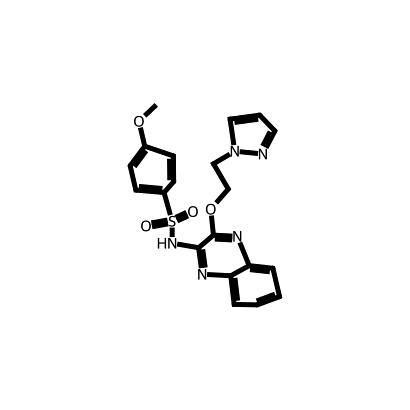 COc1ccc(S(=O)(=O)Nc2nc3ccccc3nc2OCCn2cccn2)cc1